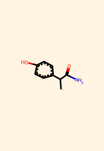 [CH2]C(C(N)=O)c1ccc(O)cc1